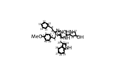 COc1ccc(Cn2c(CCc3ccccc3)nnc2[C@@H](Cc2c[nH]c3ccccc23)NC(=O)C2CC(O)CN2)cc1